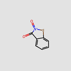 O=C1c2ccccc2S[N+]1=O